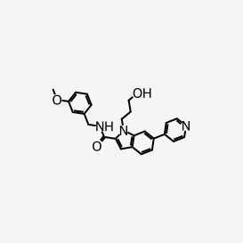 COc1cccc(CNC(=O)c2cc3ccc(-c4ccncc4)cc3n2CCCO)c1